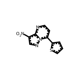 O=[N+]([O-])c1cnn2c(-c3cccs3)ccnc12